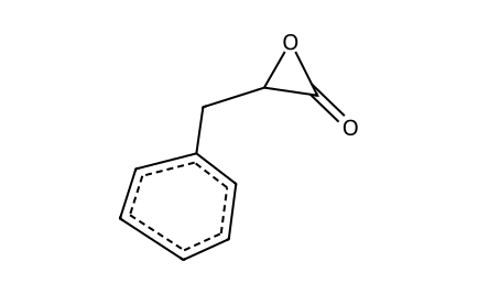 O=C1OC1Cc1ccccc1